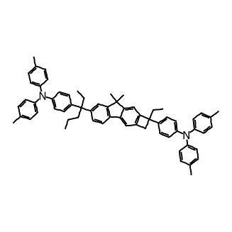 CCCC(CC)(c1ccc(N(c2ccc(C)cc2)c2ccc(C)cc2)cc1)c1ccc2c(c1)C(C)(C)c1cc3c(cc1-2)CC3(CC)c1ccc(N(c2ccc(C)cc2)c2ccc(C)cc2)cc1